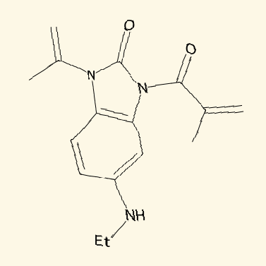 C=C(C)C(=O)n1c(=O)n(C(=C)C)c2ccc(NCC)cc21